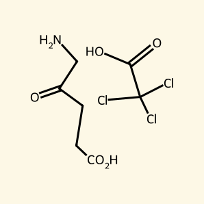 NCC(=O)CCC(=O)O.O=C(O)C(Cl)(Cl)Cl